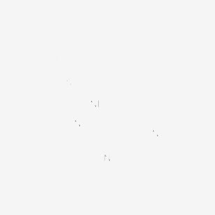 CCSCc1ncc(CC(C#N)C#N)[nH]1